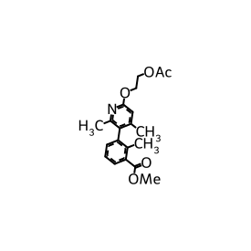 COC(=O)c1cccc(-c2c(C)cc(OCCOC(C)=O)nc2C)c1C